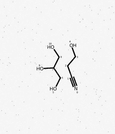 N#CCCO.OCC(O)CO